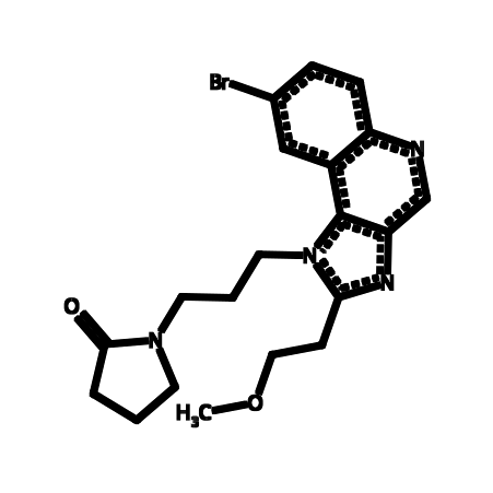 COCCc1nc2cnc3ccc(Br)cc3c2n1CCCN1CCCC1=O